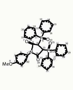 COc1ccc(N2C(=O)C(P(=O)(c3ccccc3)c3ccccc3)C(P(=O)(c3ccccc3)c3ccccc3)C2=O)cc1